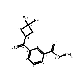 COC(=O)c1cccc(C(=O)C2CC(F)(F)C2)c1